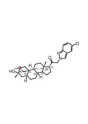 COC[C@]12CC[C@@](C)(O)C[C@H]1CC[C@H]1[C@@H]3CC[C@H](C(=O)Cn4cc5cc(Cl)ccc5n4)[C@@]3(C)CC[C@@H]12